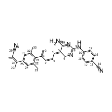 C=C(/C=C\C=C1/CN=C(Nc2ccc(C#N)cc2)N=C1N)c1c(C)cc(/C(C)=C\C#N)cc1C